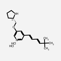 CC(C)(C)C=CC=Cc1cncc(OC[C@@H]2CCCN2)c1.Cl.Cl